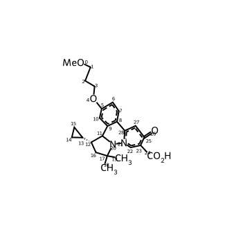 COCCCOc1ccc2c(c1)C1[C@@H](C3CC3)CC(C)(C)N1n1cc(C(=O)O)c(=O)cc1-2